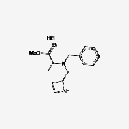 COC(=O)C(C)N(Cc1ccccc1)CC1CCN1.Cl